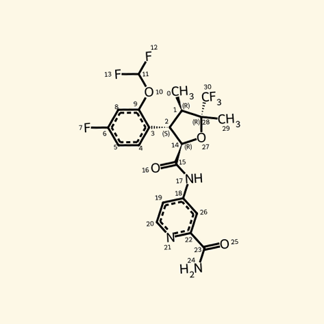 C[C@@H]1[C@@H](c2ccc(F)cc2OC(F)F)[C@H](C(=O)Nc2ccnc(C(N)=O)c2)O[C@@]1(C)C(F)(F)F